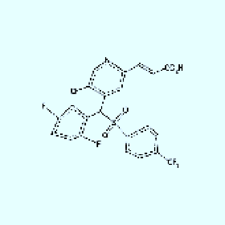 O=C(O)C=Cc1cc(C(c2cc(F)ccc2F)S(=O)(=O)c2ccc(C(F)(F)F)cc2)c(Cl)cn1